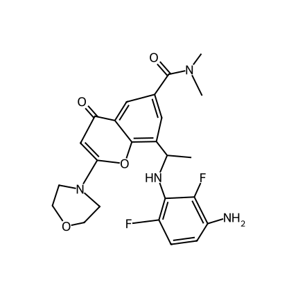 CC(Nc1c(F)ccc(N)c1F)c1cc(C(=O)N(C)C)cc2c(=O)cc(N3CCOCC3)oc12